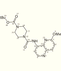 COc1ccc2nccc(NC(=O)N3CCN(C(=O)OC(C)(C)C)CC3)c2n1